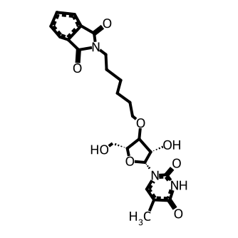 Cc1cn([C@@H]2O[C@H](CO)C(OCCCCCCN3C(=O)c4ccccc4C3=O)[C@@H]2O)c(=O)[nH]c1=O